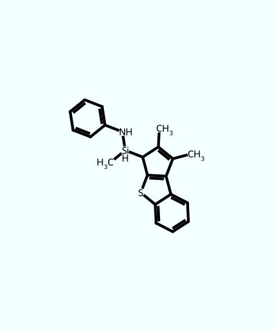 CC1=C(C)C([SiH](C)Nc2ccccc2)c2sc3ccccc3c21